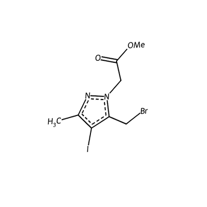 COC(=O)Cn1nc(C)c(I)c1CBr